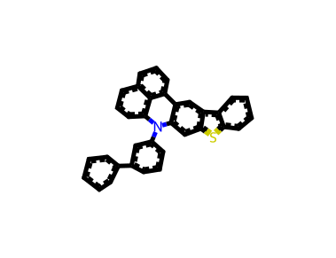 c1ccc(-c2cccc(N3c4cc5sc6ccccc6c5cc4-c4cccc5cccc3c45)c2)cc1